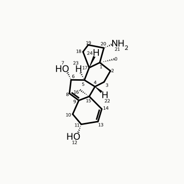 C[C@]12CC[C@H]3[C@@H]([C@@H](O)C=C4C[C@@H](O)C=C[C@@]43C)[C@@H]1CC[C@@H]2N